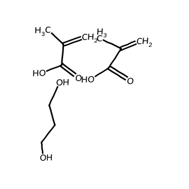 C=C(C)C(=O)O.C=C(C)C(=O)O.OCCCO